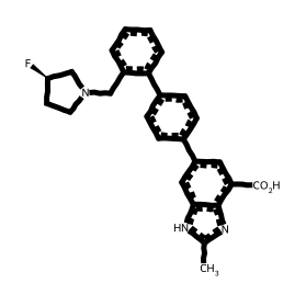 Cc1nc2c(C(=O)O)cc(-c3ccc(-c4ccccc4CN4CC[C@@H](F)C4)cc3)cc2[nH]1